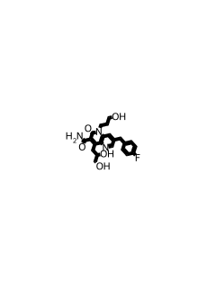 NC(=O)c1c(CC(O)CO)c2ncc(Cc3ccc(F)cc3)cc2n(CCCO)c1=O